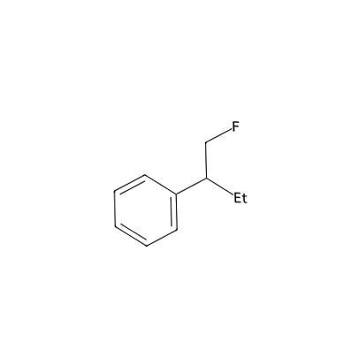 CCC(CF)c1ccccc1